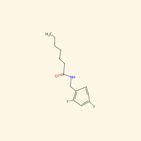 CCCCCCC(=O)NCc1ccc(F)cc1F